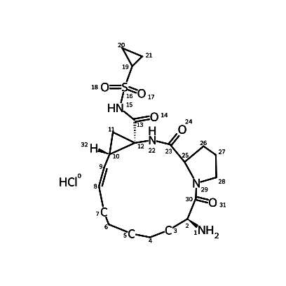 Cl.N[C@H]1CCCCC/C=C\[C@@H]2C[C@@]2(C(=O)NS(=O)(=O)C2CC2)NC(=O)C2CCCN2C1=O